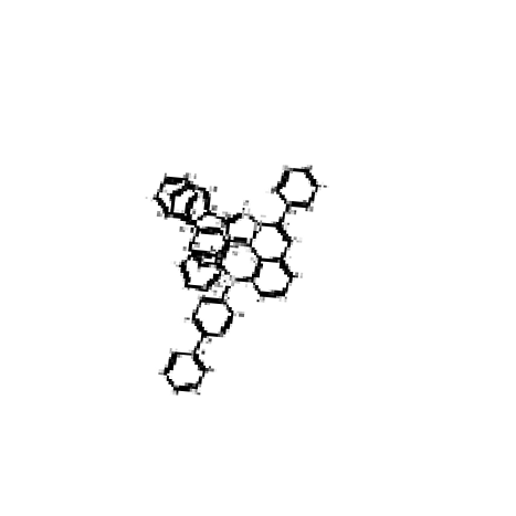 c1ccc(-c2ccc(N(c3ccc(-c4ccccc4)cc3)c3cccc4cc(-c5ccccc5)n5nc(-c6ccccc6)c(-c6ccccc6)c5c34)cc2)cc1